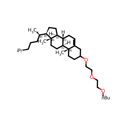 CCCCOCCOCCOC1CC[C@@]2(C)C(=CC[C@H]3[C@@H]4CC[C@H]([C@H](C)CCCC(C)C)[C@@]4(C)CC[C@@H]32)C1